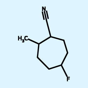 CC1CCC(F)CCC1C#N